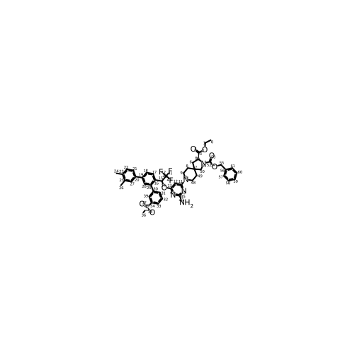 CCOC(=O)[C@@H]1CC2(CCN(c3cc(OC(c4ccc(-c5ccc(C)c(C)c5)cc4-c4cccc(S(C)(=O)=O)c4)C(F)(F)F)nc(N)n3)CC2)CN1C(=O)OCc1ccccc1